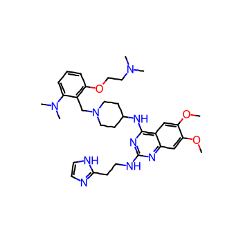 COc1cc2nc(NCCc3ncc[nH]3)nc(NC3CCN(Cc4c(OCCN(C)C)cccc4N(C)C)CC3)c2cc1OC